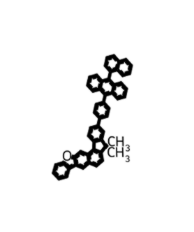 CC1(C)c2cc(-c3ccc(-c4c5ccccc5c(-c5cccc6ccccc56)c5ccccc45)cc3)ccc2-c2c1ccc1cc3c(cc21)oc1ccccc13